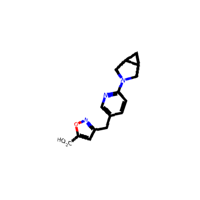 O=C(O)c1cc(Cc2ccc(N3CC4CC4C3)nc2)no1